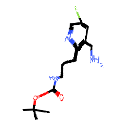 CC(C)(C)OC(=O)NCCCc1ncc(F)cc1CN